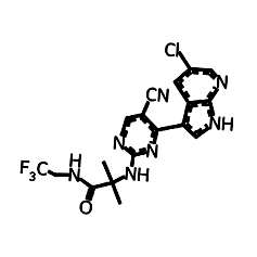 CC(C)(Nc1ncc(C#N)c(-c2c[nH]c3ncc(Cl)cc23)n1)C(=O)NCC(F)(F)F